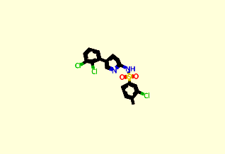 Cc1ccc(S(=O)(=O)Nc2ccc(-c3cccc(Cl)c3Cl)cn2)cc1Cl